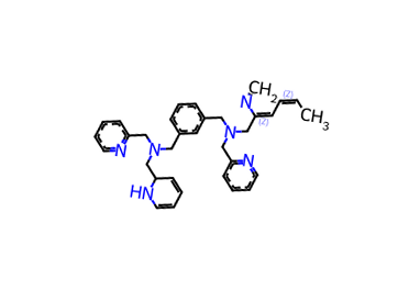 C=N/C(=C\C=C/C)CN(Cc1cccc(CN(Cc2ccccn2)CC2C=CC=CN2)c1)Cc1ccccn1